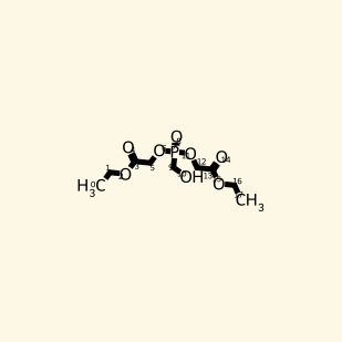 CCOC(=O)COP(=O)(CO)OCC(=O)OCC